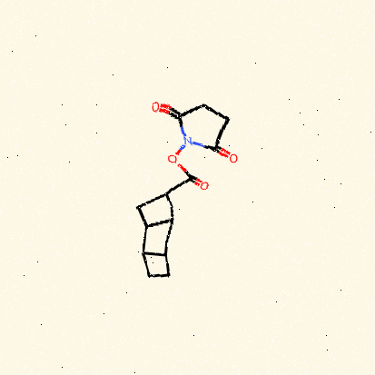 O=C(ON1C(=O)CCC1=O)C1CC2C3CCC3C12